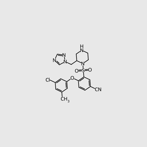 Cc1cc(Cl)cc(Oc2ccc(C#N)cc2S(=O)(=O)N2CCNCC2Cn2cncn2)c1